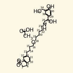 CC(=O)O.O=S1(=O)CCc2ccc(CCCCOCCCCCCNC[C@H](O)c3ccc(O)c(CO)c3)cc21